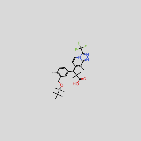 Cc1ccc(C(c2ccn3c(C(F)(F)F)nnc3c2C)C(C)(C)C(=O)O)cc1CO[Si](C)(C)C(C)(C)C